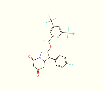 C[C@@H](OC1CN2C(=O)CC(=O)CC2[C@@H]1c1ccc(F)cc1)c1cc(C(F)(F)F)cc(C(F)(F)F)c1